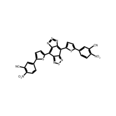 N#Cc1cc(-c2ccc(-c3c4c(c(-c5ccc(-c6ccc([N+](=O)[O-])c(C#N)c6)s5)c5nsnc35)N=S=N4)s2)ccc1[N+](=O)[O-]